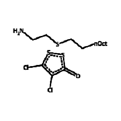 CCCCCCCCCCSCCN.O=c1ssc(Cl)c1Cl